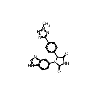 Cn1nnc(-c2ccc(C3C(=O)NC(=O)N3c3ccc4[nH]cnc4c3)cc2)n1